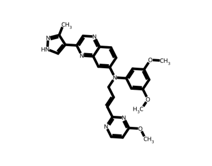 COc1cc(OC)cc(N(C/C=C/c2nccc(OC)n2)c2ccc3ncc(-c4c[nH]nc4C)nc3c2)c1